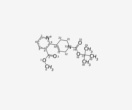 COC(=O)c1cccnc1C1=CCN(C(=O)OC(C)(C)C)CC1